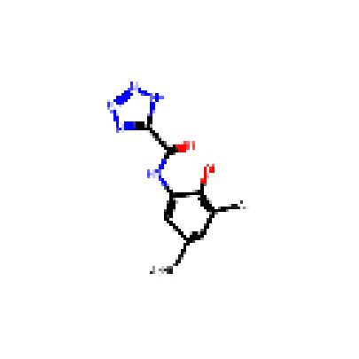 CC(=O)Nc1cc(NC(=O)c2nnn[nH]2)c(O)c(C(C)=O)c1